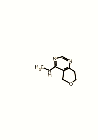 CNc1ncnc2c1COCC2